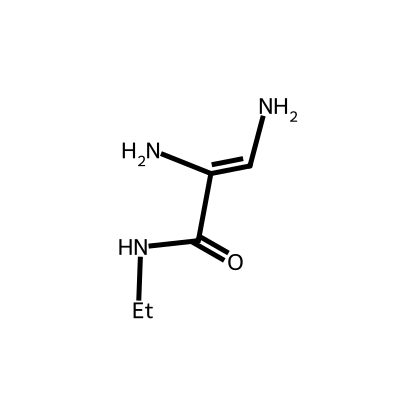 CCNC(=O)C(N)=CN